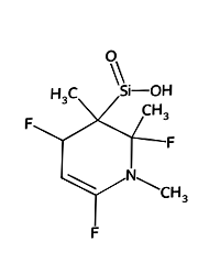 CN1C(F)=CC(F)C(C)([Si](=O)O)C1(C)F